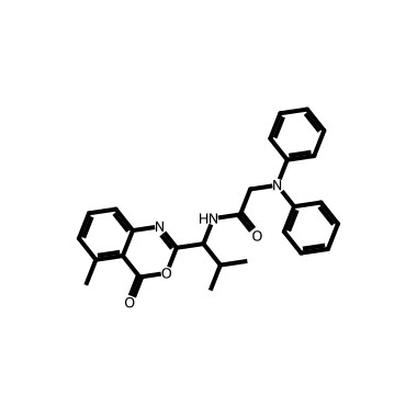 Cc1cccc2nc(C(NC(=O)CN(c3ccccc3)c3ccccc3)C(C)C)oc(=O)c12